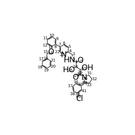 O=C(NCc1ccc(-c2ccccc2OCc2ccccc2)cn1)C(O)C(O)C(=O)N1CCC[C@@H]1c1cccc(Cl)c1